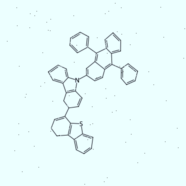 C1=CC(C2=CCCc3c2sc2ccccc32)Cc2c1n(-c1ccc3c(-c4ccccc4)c4ccccc4c(-c4ccccc4)c3c1)c1ccccc21